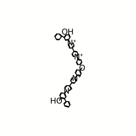 Oc1ccc(-[n+]2ccc(-c3cc[n+](-c4ccc(Oc5ccc(-[n+]6ccc(-c7cc[n+](-c8ccc(O)c(-c9ccccc9)c8)cc7)cc6)cc5)cc4)cc3)cc2)cc1-c1ccccc1